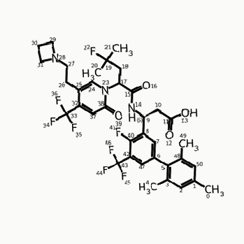 Cc1cc(C)c(-c2cc([C@H](CC(=O)O)NC(=O)C(CC(C)(C)F)n3cc(CCN4CCC4)c(C(F)(F)F)cc3=O)c(F)c(C(F)(F)F)c2)c(C)c1